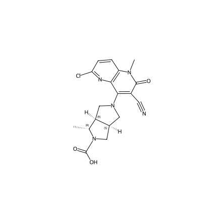 C[C@@H]1[C@H]2CN(c3c(C#N)c(=O)n(C)c4ccc(Cl)nc34)C[C@H]2CN1C(=O)O